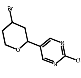 Clc1ncc(C2CC(Br)CCO2)cn1